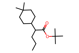 CCCC(C(=O)OC(C)(C)C)C1CCC(C)(C)CC1